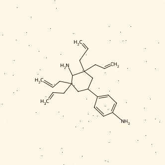 C=CCC1(CC=C)CC(c2ccc(N)cc2)CC(CC=C)(CC=C)C1N